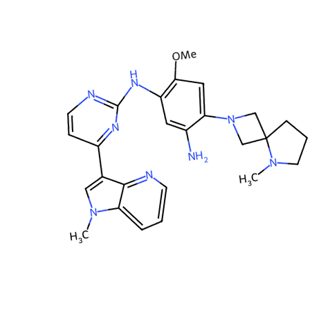 COc1cc(N2CC3(CCCN3C)C2)c(N)cc1Nc1nccc(-c2cn(C)c3cccnc23)n1